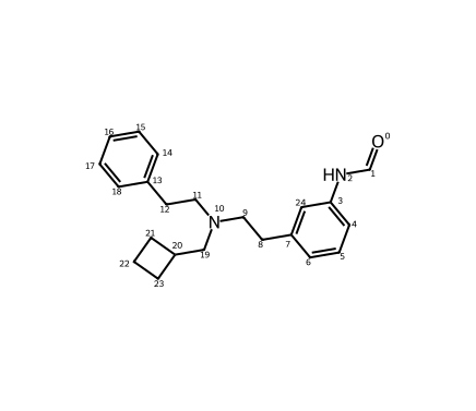 O=CNc1cccc(CCN(CCc2ccccc2)CC2CCC2)c1